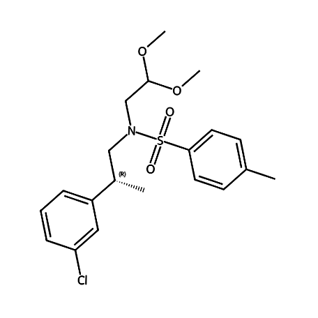 COC(CN(C[C@H](C)c1cccc(Cl)c1)S(=O)(=O)c1ccc(C)cc1)OC